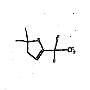 CC1(C)CC=C(C(F)(F)C(F)(F)F)S1